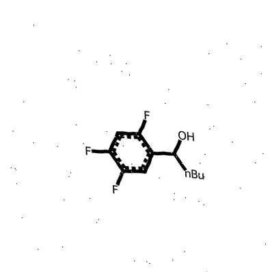 CCCCC(O)c1cc(F)c(F)cc1F